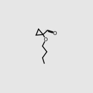 CCCCOC1([C]=O)CC1